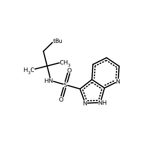 CC(C)(C)CC(C)(C)NS(=O)(=O)c1n[nH]c2ncccc12